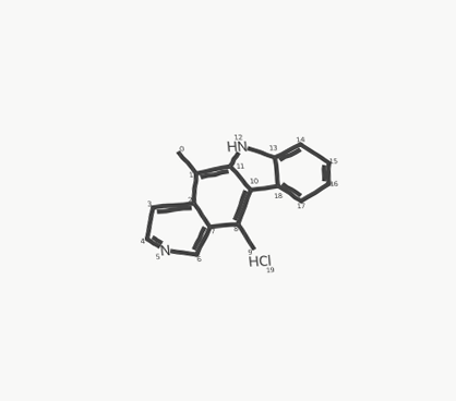 Cc1c2ccncc2c(C)c2c1[nH]c1ccccc12.Cl